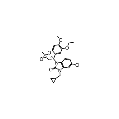 CCOc1cc([C@@H](CS(C)(=O)=O)n2c(=O)n(CC3CC3)c3cc(Cl)ccc32)ccc1OC